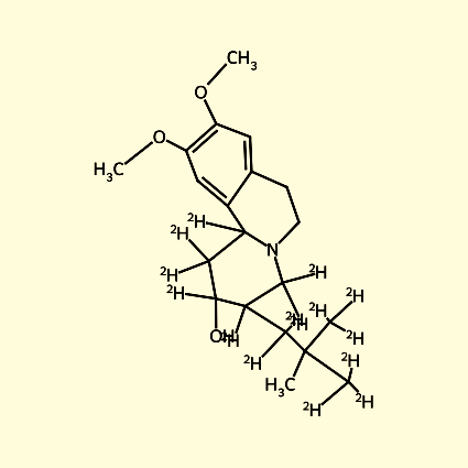 [2H]C([2H])([2H])C(C)(C([2H])([2H])[2H])C([2H])([2H])C1([2H])C([2H])([2H])N2CCc3cc(OC)c(OC)cc3C2([2H])C([2H])([2H])C1([2H])O